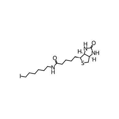 O=C(CCCC[C@@H]1SC[C@@H]2NC(=O)N[C@@H]21)NCCCCCCI